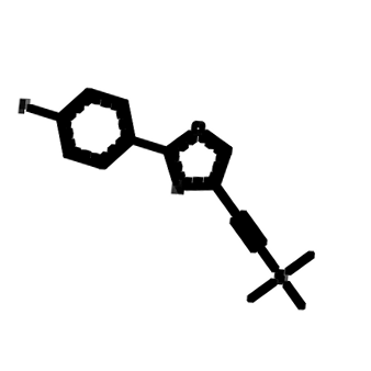 C[Si](C)(C)C#Cc1coc(-c2ccc(F)cc2)n1